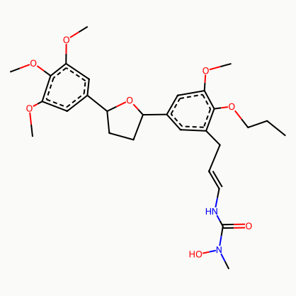 CCCOc1c(C/C=C/NC(=O)N(C)O)cc(C2CCC(c3cc(OC)c(OC)c(OC)c3)O2)cc1OC